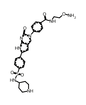 NOCCNC(=O)c1ccc(-n2cc3cc(-c4ccc(S(=O)(=O)NC5CCNCC5)cc4)[nH]c3nc2=O)cc1